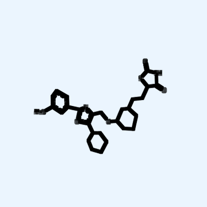 COc1cccc(-c2nc(COC3CCCC(CCC4SC(=O)NC4=O)C3)c(C3CCCCC3)o2)c1